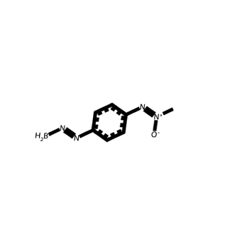 BN=Nc1ccc(N=[N+](C)[O-])cc1